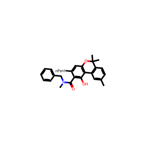 CCCCCc1cc2c(c(O)c1C(=O)N(C)Cc1ccccc1)-c1cc(C)ccc1C(C)(C)O2